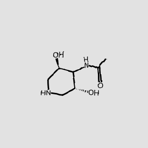 CC(=O)NC1[C@H](O)CNC[C@H]1O